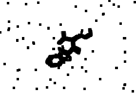 C=C(/C(=C\C=C/C)C(C)C)c1nc2ccccc2o1